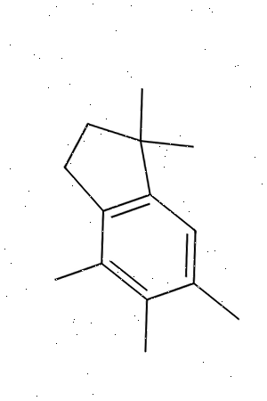 Cc1cc2c(c(C)c1C)CCC2(C)C